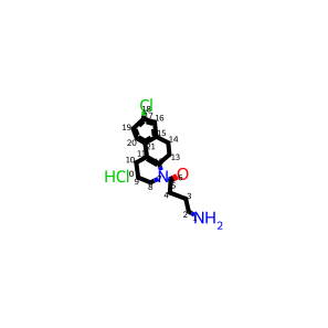 Cl.NCCCC(=O)N1CCCC2=C1CCc1cc(Cl)ccc12